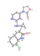 O=C1OCCN1c1ccnc(NC2(c3cc4cccc(Cl)c4[nH]c3=O)CC2)n1